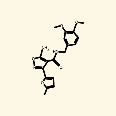 COc1ccc(CNC(=O)c2c(-c3ccc(C)o3)noc2N)cc1OC